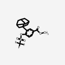 COC(=O)c1ccc(OS(=O)(=O)C(F)(F)F)c(C23CC4CC(CC(C4)C2)C3)c1